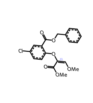 CO/C=C(/Oc1ccc(Cl)cc1C(=O)OCc1ccccc1)C(=O)OC